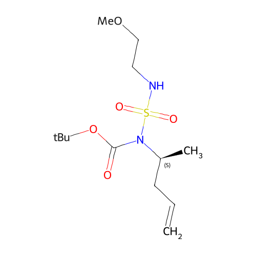 C=CC[C@H](C)N(C(=O)OC(C)(C)C)S(=O)(=O)NCCOC